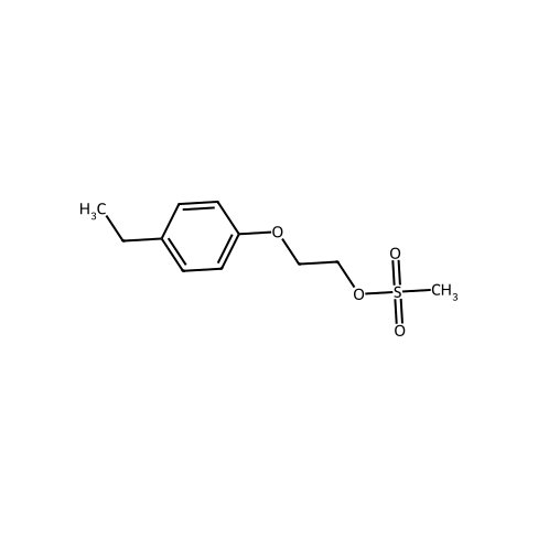 CCc1ccc(OCCOS(C)(=O)=O)cc1